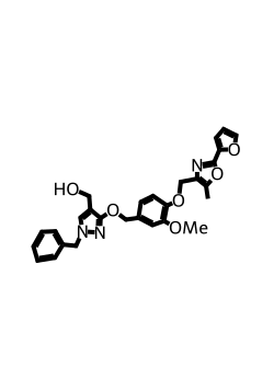 COc1cc(COc2nn(Cc3ccccc3)cc2CO)ccc1OCc1nc(-c2ccco2)oc1C